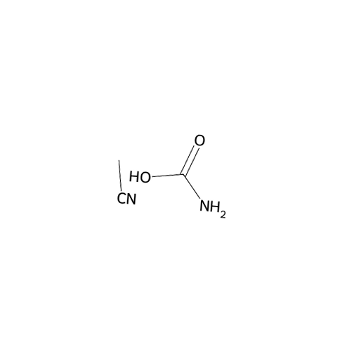 CC#N.NC(=O)O